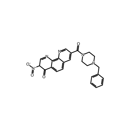 O=C1c2ccc3cc(C(=O)N4CCN(Cc5ccccc5)CC4)cnc3c2N=CC1[N+](=O)[O-]